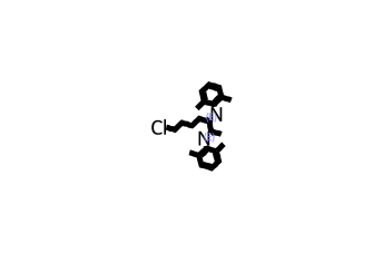 CC(=N\c1c(C)cccc1C)/C(CCCCCl)=N/c1c(C)cccc1C